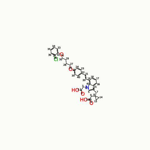 O=C(O)Cn1cc(CC2(CC(=O)O)CC2)c2cccc(/C=C/c3ccc(OCCCCOc4ccccc4Cl)cc3)c21